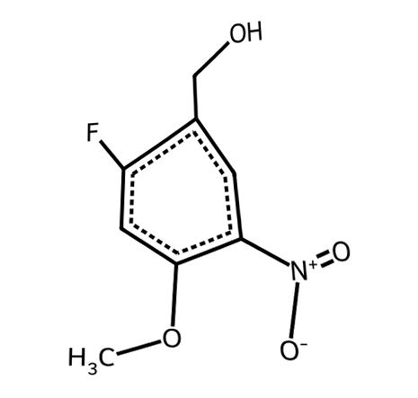 COc1cc(F)c(CO)cc1[N+](=O)[O-]